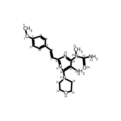 COc1ccc(C=Cc2nc(N3CCOCC3)c(N)c(N(C)C(N)=O)n2)cc1